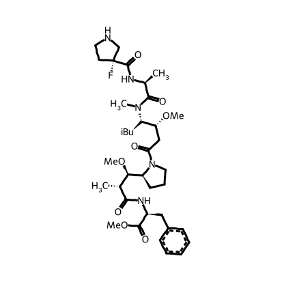 CC[C@H](C)[C@@H]([C@@H](CC(=O)N1CCC[C@H]1[C@H](OC)[C@@H](C)C(=O)N[C@@H](Cc1ccccc1)C(=O)OC)OC)N(C)C(=O)[C@H](C)NC(=O)[C@@]1(F)CCNC1